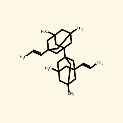 CC=CC12CC3(C)CC(C)(C1)CC(C14CC5(C)CC(C)(CC(C=CC)(C5)C1)C4)(C3)C2